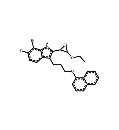 CCOC1OC1c1[nH]c2c(Br)c(F)ccc2c1CCCOc1cccc2ccccc12